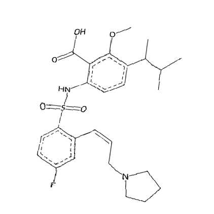 COc1c(C(C)C(C)C)ccc(NS(=O)(=O)c2ccc(F)cc2/C=C\CN2CCCC2)c1C(=O)O